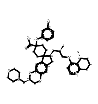 C[C@@H](COc1ccnc2c1[C@H](C)CCC2)C[C@H]1Cc2cc3c(cc2C12CCC(Nc1cccc(Cl)c1)(C(=O)O)CC2)O[C@H](CN1CCOCC1)CO3